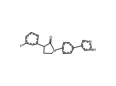 O=C1C(c2cccc(F)c2)CCN1c1ccc(-c2cn[nH]c2)cc1